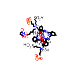 CCCC[N+](CCCCS(=O)(=O)[O-])(CCCCS(=O)(=O)O)CCC[Si](C)(C)O[Si]1(O[Si](C)(C)CCC[N+](CCCCCC(=O)ON2C(=O)CCC2=O)(CCCCS(=O)(=O)[O-])CCCCS(=O)(=O)O)n2c3c4ccccc4c2/N=C2N=C(/N=c4/c5ccccc5/c(n41)=N/C1=NC(=N\3)/c3ccccc31)c1ccccc1\2